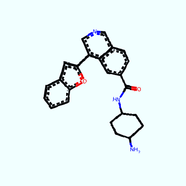 NC1CCC(NC(=O)c2ccc3cncc(-c4cc5ccccc5o4)c3c2)CC1